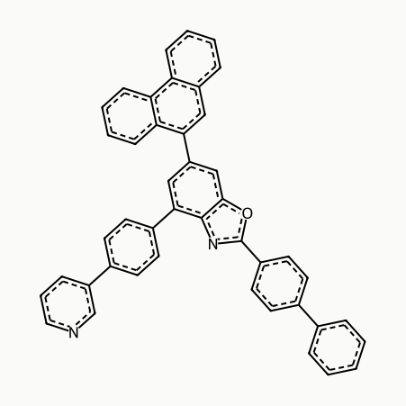 c1ccc(-c2ccc(-c3nc4c(-c5ccc(-c6cccnc6)cc5)cc(-c5cc6ccccc6c6ccccc56)cc4o3)cc2)cc1